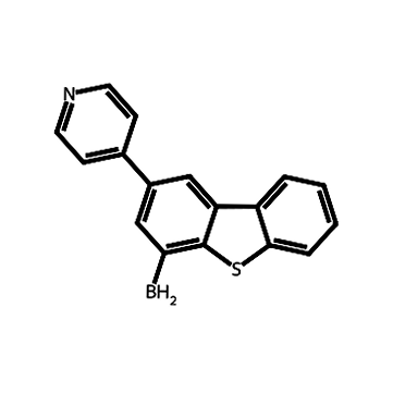 Bc1cc(-c2ccncc2)cc2c1sc1ccccc12